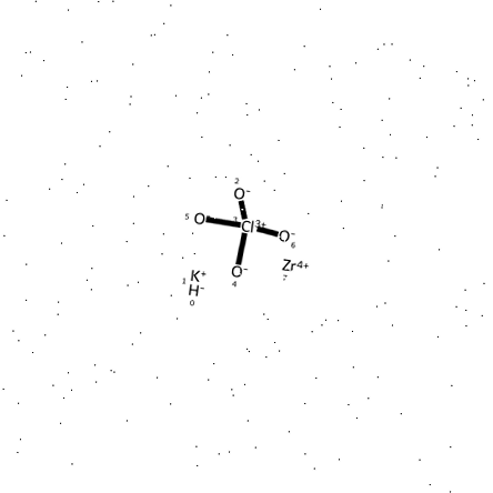 [H-].[K+].[O-][Cl+3]([O-])([O-])[O-].[Zr+4]